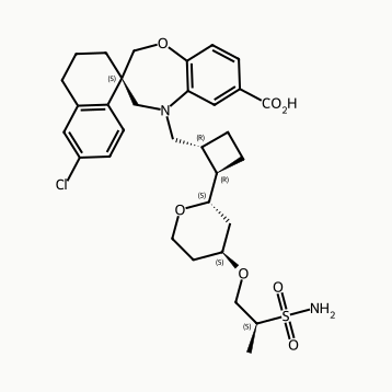 C[C@@H](CO[C@H]1CCO[C@H]([C@@H]2CC[C@H]2CN2C[C@@]3(CCCc4cc(Cl)ccc43)COc3ccc(C(=O)O)cc32)C1)S(N)(=O)=O